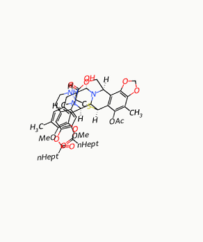 CCCCCCCC(=O)Oc1cc2c(cc1OC)[C@@]1(CS[C@@H]3c4c(OC(C)=O)c(C)c5c(c4[C@H](COC1=O)N1C3[C@H]3c4c(cc(C)c(OC)c4OC(=O)CCCCCCC)C[C@@H]([C@@H]1O)N3C)OCO5)NCC2